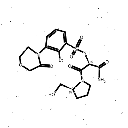 CCc1c(N2CCOCC2=O)cccc1S(=O)(=O)N[C@@H](C(N)=O)C(=O)N1CCC[C@H]1CO